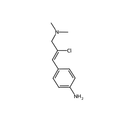 CN(C)CC(Cl)=Cc1ccc(N)cc1